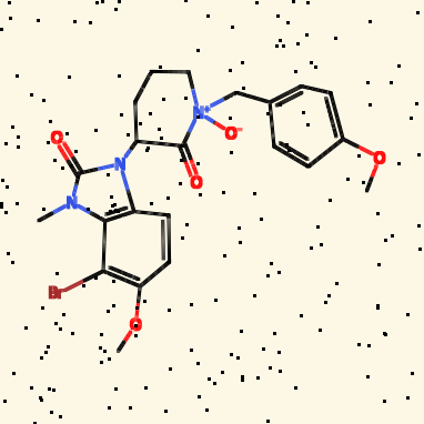 COc1ccc(C[N+]2([O-])CCCC(n3c(=O)n(C)c4c(Br)c(OC)ccc43)C2=O)cc1